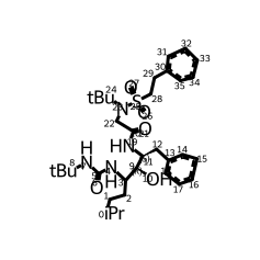 CC(C)CCC(NC(=O)NC(C)(C)C)[C@H](O)[C@H](Cc1ccccc1)NC(=O)CN(C(C)(C)C)S(=O)(=O)CCc1ccccc1